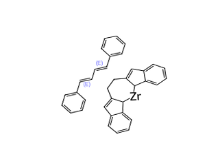 C(/C=C/c1ccccc1)=C\c1ccccc1.C1=C2CCC3=Cc4ccccc4[CH]3[Zr][CH]2c2ccccc21